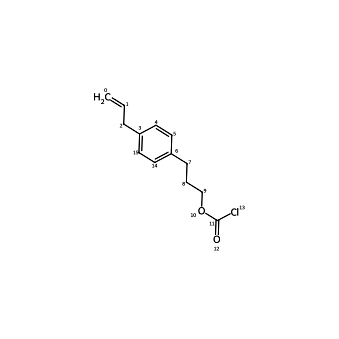 C=CCc1ccc(CCCOC(=O)Cl)cc1